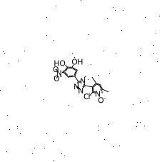 Cc1cc(C)[n+]([O-])c(Cl)c1-c1nnc(-c2cc(O)c(O)c([N+](=O)[O-])c2)n1C